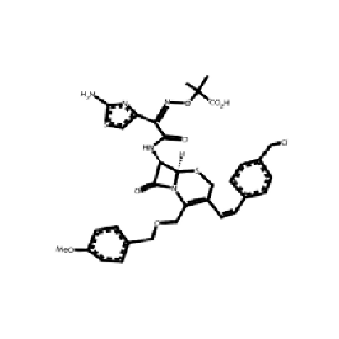 COc1ccc(COCC2=C(/C=C\c3ccc(CCl)cc3)CS[C@@H]3[C@H](NC(=O)/C(=N\OC(C)(C)C(=O)O)c4csc(N)n4)C(=O)N23)cc1